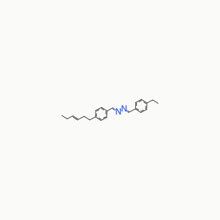 CC/C=C/CCc1ccc(C=NN=Cc2ccc(CC)cc2)cc1